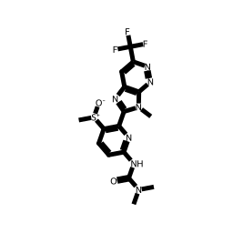 CN(C)C(=O)Nc1ccc([S+](C)[O-])c(-c2nc3cc(C(F)(F)F)nnc3n2C)n1